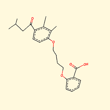 Cc1c(OCCCCOc2ccccc2C(=O)O)ccc(C(=O)CC(C)C)c1C